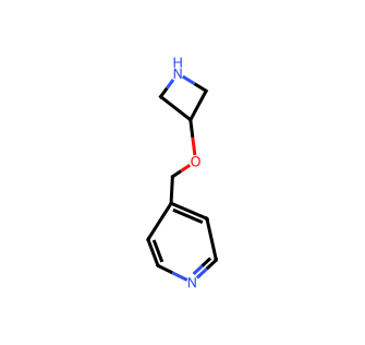 c1cc(COC2CNC2)ccn1